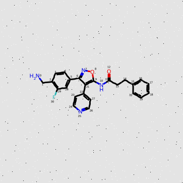 NCc1ccc(-c2noc(NC(=O)CCc3ccccc3)c2-c2ccncc2)cc1F